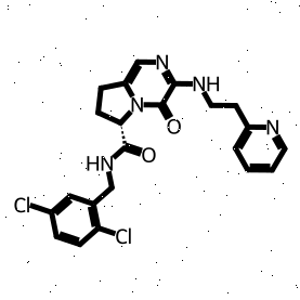 O=C(NCc1cc(Cl)ccc1Cl)[C@@H]1CCc2cnc(NCCc3ccccn3)c(=O)n21